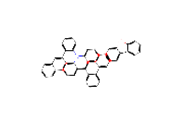 c1ccc(N(c2ccc(-c3ccc4c(c3)oc3ccccc34)cc2)c2ccccc2-c2cc3ccccc3c3ccccc23)c(-c2ccc3ccccc3c2)c1